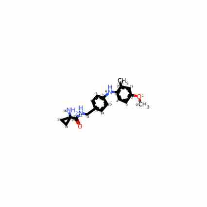 COc1ccc(Nc2ccc(CNC(=O)C3(N)CC3)cc2)c(C)c1